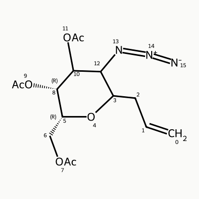 C=CCC1O[C@H](COC(C)=O)[C@H](OC(C)=O)C(OC(C)=O)C1N=[N+]=[N-]